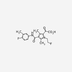 Cc1cc(NC(=O)c2c(C)c(C(=O)C(=O)O)n(CCF)c2C)ccc1F